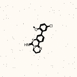 COc1ccc(Cl)cc1-c1ccc2c(c1)SC(=N)N1CCCN=C21